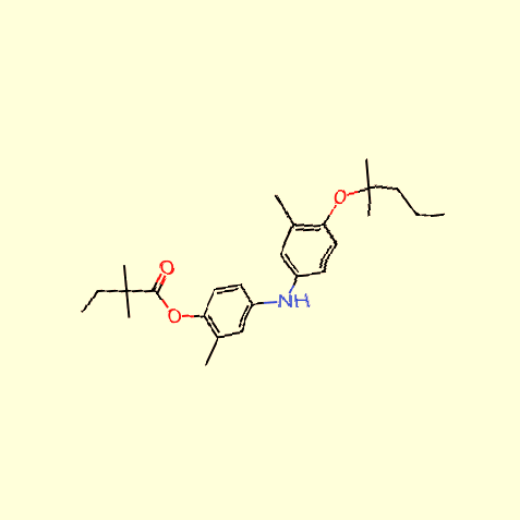 CCCC(C)(C)Oc1ccc(Nc2ccc(OC(=O)C(C)(C)CC)c(C)c2)cc1C